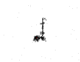 CCCCCCC(=O)NCCSSCOCCCCCNC(=O)NCC#Cc1cn([C@H]2C[C@H](OCS(C)=S)[C@@H](COP(=O)(O)OP(=O)(O)OP(=O)(O)O)O2)c2nc(N)[nH]c(=O)c12